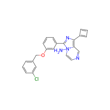 N[N+]12C=CN=CC1=C(C1=CC=C1)N=C2c1cccc(OCc2cccc(Cl)c2)c1